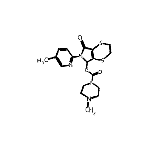 Cc1ccc(N2C(=O)C3=C(SCCS3)C2OC(=O)N2CCN(C)CC2)nc1